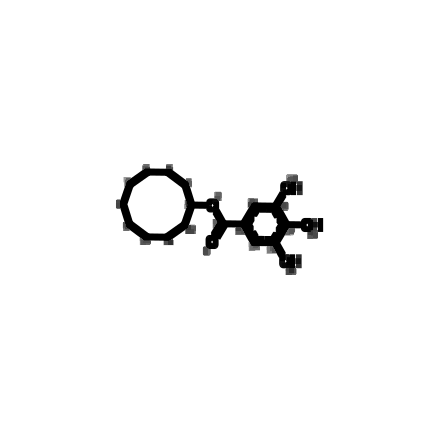 O=C(OC1CCCCCCCCC1)c1cc(O)c(O)c(O)c1